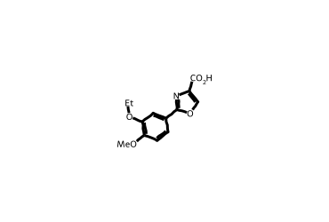 CCOc1cc(-c2nc(C(=O)O)co2)ccc1OC